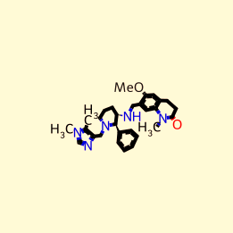 COc1cc2c(cc1CN[C@H]1CCCN(Cc3ncn(C)c3C)[C@@H]1c1ccccc1)N(C)C(=O)CC2